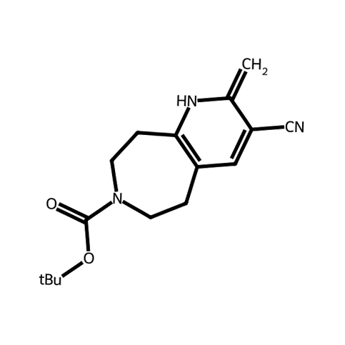 C=C1NC2=C(C=C1C#N)CCN(C(=O)OC(C)(C)C)CC2